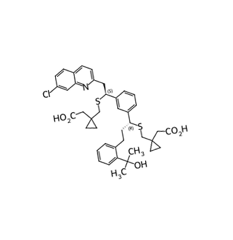 CC(C)(O)c1ccccc1CC[C@@H](SCC1(CC(=O)O)CC1)c1cccc([C@H](Cc2ccc3ccc(Cl)cc3n2)SCC2(CC(=O)O)CC2)c1